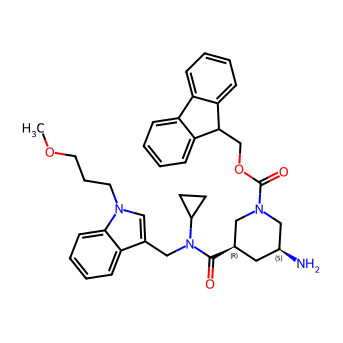 COCCCn1cc(CN(C(=O)[C@@H]2C[C@H](N)CN(C(=O)OCC3c4ccccc4-c4ccccc43)C2)C2CC2)c2ccccc21